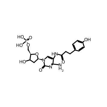 Nc1nc(=O)n([C@H]2CC(O)[C@@H](COP(=O)(O)O)O2)cc1NC(=O)CCc1ccc(O)cc1